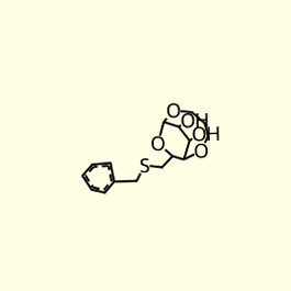 OC1C2OCCCOC(C(CSCc3ccccc3)O2)C1O